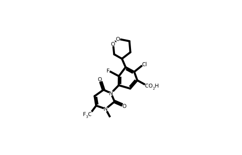 Cn1c(C(F)(F)F)cc(=O)n(-c2cc(C(=O)O)c(Cl)c(C3CCOOC3)c2F)c1=O